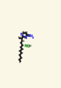 CCCCCCCCCCCC(C)c1nccc(N)n1.Cl